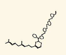 CCOCCOCCOCCOC(=O)C1CCC=C(CC/C=C(\C)CCC=C(C)C)C1